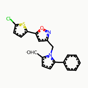 O=[C]c1ccc(-c2ccccc2)n1Cc1cc(-c2ccc(Cl)s2)on1